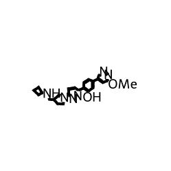 COc1cc(-c2ccc(-c3ccc(N4CCC(CNC5CCC5)C4)nn3)c(O)c2)cnn1